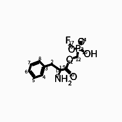 N[C@@H](Cc1ccccc1)C(=O)OCP(=O)(O)OF